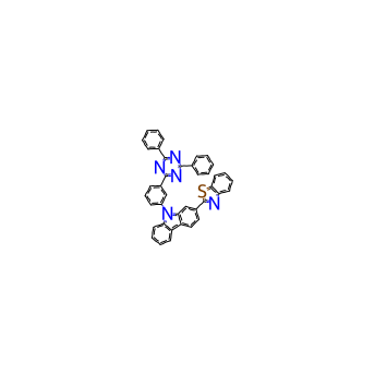 c1ccc(-c2nc(-c3ccccc3)nc(-c3cccc(-n4c5ccccc5c5ccc(-c6nc7ccccc7s6)cc54)c3)n2)cc1